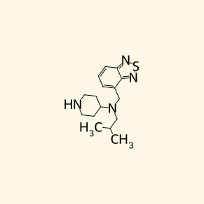 CC(C)CN(Cc1cccc2nsnc12)C1CCNCC1